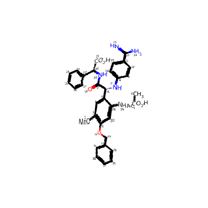 CC(=O)O.COc1cc([C@@H](Nc2ccc(C(=N)N)cc2)C(=O)N[C@H](C(=O)O)c2ccccc2)c(NC(C)=O)cc1OCc1ccccc1